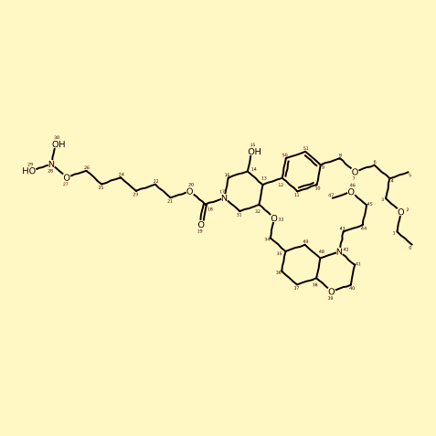 CCOCC(C)COCc1ccc(C2C(O)CN(C(=O)OCCCCCCON(O)O)CC2OCC2CCC3OCCN(CCCOC)C3C2)cc1